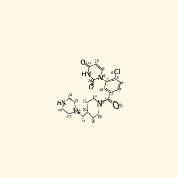 O=C(c1ccc(Cl)c(-n2ccc(=O)[nH]c2=O)c1)N1CCC(CN2CCNCC2)CC1